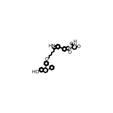 O=C1CC[C@H](N2Cc3cc(-c4ccc5[nH]cc(CCCCCOc6ccc([C@@H]7c8ccc(O)cc8CC[C@@H]7c7ccccc7)cc6)c5c4)ccc3C2=O)C(=O)N1